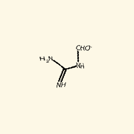 N=C(N)N[C]=O